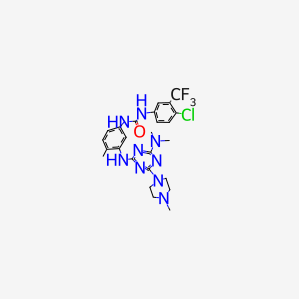 Cc1ccc(NC(=O)Nc2ccc(Cl)c(C(F)(F)F)c2)cc1Nc1nc(N(C)C)nc(N2CCN(C)CC2)n1